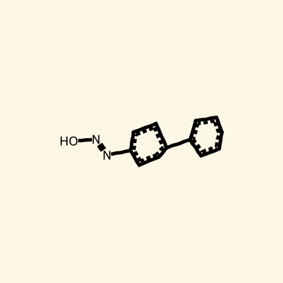 ON=Nc1ccc(-c2ccccc2)cc1